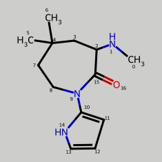 CNC1CC(C)(C)CCN(c2ccc[nH]2)C1=O